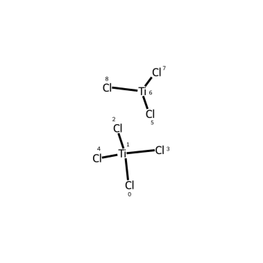 [Cl][Ti]([Cl])([Cl])[Cl].[Cl][Ti]([Cl])[Cl]